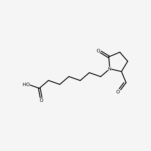 O=CC1CCC(=O)N1CCCCCCC(=O)O